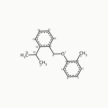 Cc1ccccc1OCc1ccccc1C(C)C